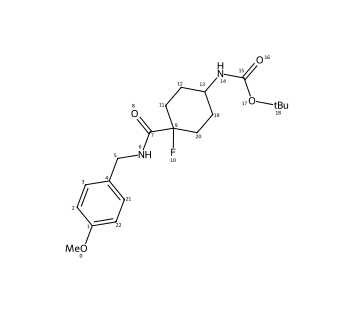 COc1ccc(CNC(=O)C2(F)CCC(NC(=O)OC(C)(C)C)CC2)cc1